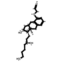 CCCCC[C@H](O)CC[C@H]1[C@H](O)CC2Cc3c(cccc3OCC=O)C[C@@H]21